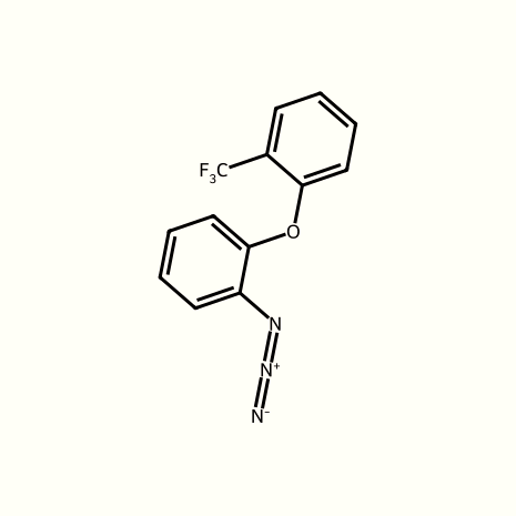 [N-]=[N+]=Nc1ccccc1Oc1ccccc1C(F)(F)F